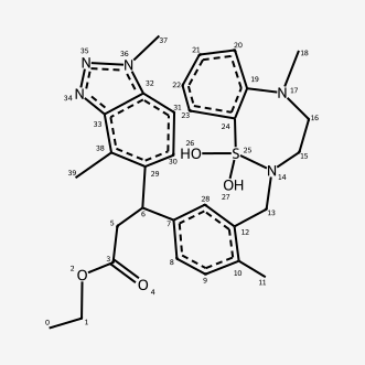 CCOC(=O)CC(c1ccc(C)c(CN2CCN(C)c3ccccc3S2(O)O)c1)c1ccc2c(nnn2C)c1C